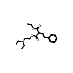 CCOC(=O)C(CCc1ccccc1)C(=O)OCCN(CC)CC